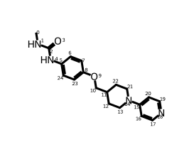 CNC(=O)Nc1ccc(OCC2CCN(c3ccncc3)CC2)cc1